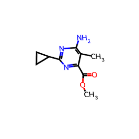 COC(=O)c1nc(C2CC2)nc(N)c1C